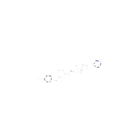 Cc1ncccc1O[C@H]1CO[C@H]2[C@@H]1OC[C@@H]2NC(=O)NC1CCCN(C(=O)c2ccc(F)cc2)C1